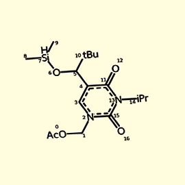 CC(=O)OCn1cc(C(O[SiH](C)C)C(C)(C)C)c(=O)n(C(C)C)c1=O